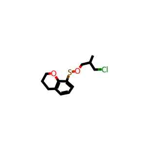 CC(CCl)COSc1cccc2c1OCCC2